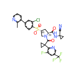 Cc1ncccc1-c1ccc(S(=O)(=O)[C@@H]2C[C@@H](C(=O)NC3(C#N)CC3)N(C(=O)C3(c4ncc(C(F)(F)F)cc4F)CC3)C2)c(Cl)c1